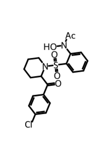 CC(=O)N(O)c1ccccc1S(=O)(=O)N1CCCCC1C(=O)c1ccc(Cl)cc1